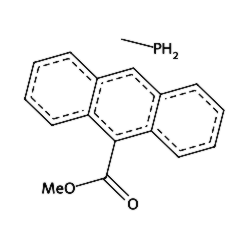 COC(=O)c1c2ccccc2cc2ccccc12.CP